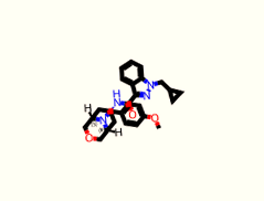 COc1ccc(CN2[C@@H]3COC[C@H]2C[C@@H](NC(=O)c2nn(CC4CC4)c4ccccc24)C3)cc1